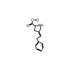 O=CC(=O)C1CC(=CCc2ccccc2)CN1